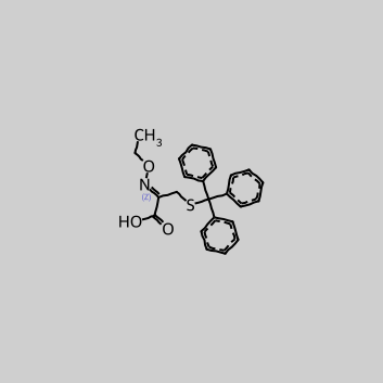 CCO/N=C(\CSC(c1ccccc1)(c1ccccc1)c1ccccc1)C(=O)O